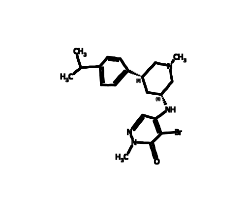 CC(C)c1ccc([C@H]2C[C@@H](Nc3cnn(C)c(=O)c3Br)CN(C)C2)cc1